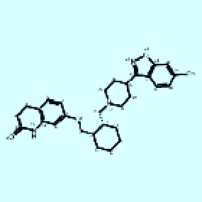 O=C1CCc2ccc(OC[C@@H]3CCCC[C@H]3CN3CCC(c4noc5cc(F)ccc45)CC3)cc2N1